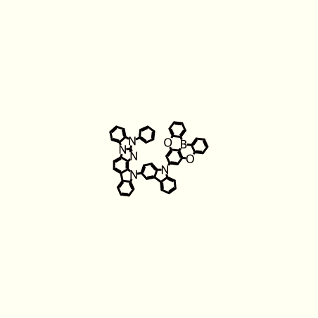 c1ccc(-n2c3ccccc3n3c4ccc5c6ccccc6n(-c6ccc7c(c6)c6ccccc6n7-c6cc7c8c(c6)Oc6ccccc6B8c6ccccc6O7)c5c4nc23)cc1